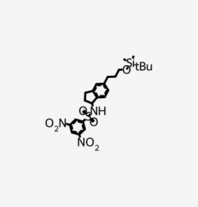 CC(C)(C)[Si](C)(C)OCCCc1ccc2c(c1)CCC2NS(=O)(=O)c1cc([N+](=O)[O-])cc([N+](=O)[O-])c1